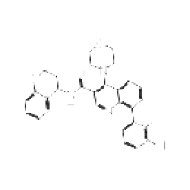 O=C(NC1CCOc2ccccc21)c1cnc2c(-c3cccc(Cl)c3Cl)cccc2c1N1CCOCC1